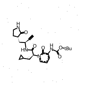 C#C[C@H](C[C@@H]1CCNC1=O)NC(=O)[C@H](CC1CC1)n1cccc(NC(=O)OC(C)(C)C)c1=O